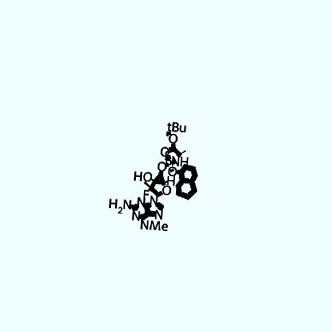 CNc1nc(N)nc2c1ncn2[C@@H]1O[C@@H]2C(OP(=S)(N[C@@H](C)C(=O)OCC(C)(C)C)Oc3cccc4ccccc34)[C@]2(O)[C@@]1(C)F